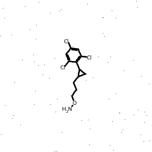 NOCCCC1CC1c1c(Cl)cc(Cl)cc1Cl